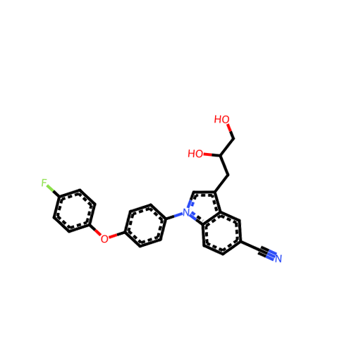 N#Cc1ccc2c(c1)c(CC(O)CO)cn2-c1ccc(Oc2ccc(F)cc2)cc1